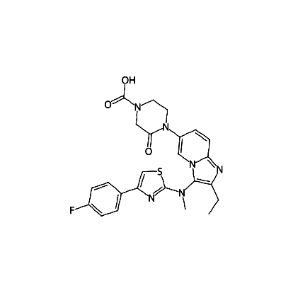 CCc1nc2ccc(N3CCN(C(=O)O)CC3=O)cn2c1N(C)c1nc(-c2ccc(F)cc2)cs1